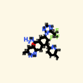 Cc1ccc(-c2cc(-n3ncnc3C(F)(F)F)cc(C(N)=O)c2Cc2ccc(C)nn2)nc1